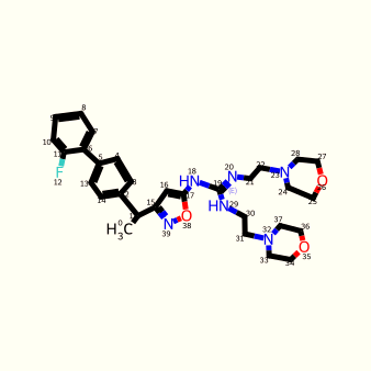 CC(c1ccc(-c2ccccc2F)cc1)c1cc(N/C(=N/CCN2CCOCC2)NCCN2CCOCC2)on1